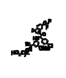 CCC(=NOC(C)(C)C(=O)O)c1cc(NC(C(=O)N2CC3(CC3)c3ccc(OC(F)F)cc32)c2ccc(Cl)cc2)cc(OC)c1